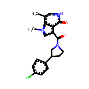 Cc1c[nH]c(=O)c2c(C(=O)N3CCC(c4ccc(Cl)cc4)C3)cn(C)c12